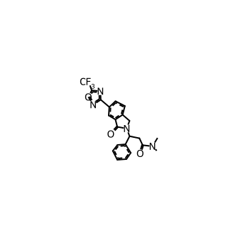 CN(C)C(=O)CC(c1ccccc1)N1Cc2ccc(-c3noc(C(F)(F)F)n3)cc2C1=O